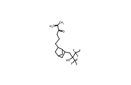 C=C(C)C(=O)CCCC1CC2CC(CC(O)(C(F)(F)F)C(F)(F)F)C1C2